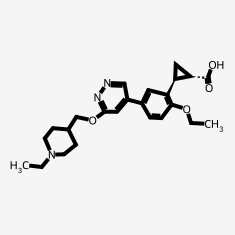 CCOc1ccc(-c2cnnc(OCC3CCN(CC)CC3)c2)cc1[C@H]1C[C@@H]1C(=O)O